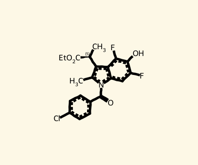 CCOC(=O)[C@@H](C)c1c(C)n(C(=O)c2ccc(Cl)cc2)c2cc(F)c(O)c(F)c12